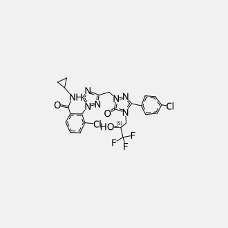 O=C(NC1CC1)c1cccc(Cl)c1-n1cnc(Cn2nc(-c3ccc(Cl)cc3)n(C[C@H](O)C(F)(F)F)c2=O)n1